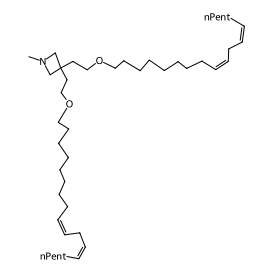 CCCCC/C=C\C/C=C\CCCCCCCCOCCC1(CCOCCCCCCCC/C=C\C/C=C\CCCCC)CN(C)C1